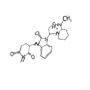 CCC(N1CCCCC1NC)n1c(=O)n(C2CCC(=O)NC2=O)c2ccccc21